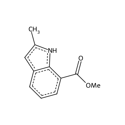 COC(=O)c1cccc2cc(C)[nH]c12